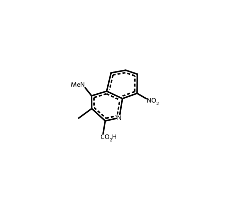 CNc1c(C)c(C(=O)O)nc2c([N+](=O)[O-])cccc12